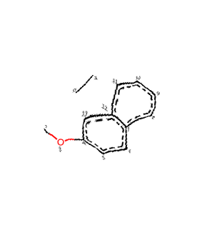 CC.COc1ccc2ccccc2c1